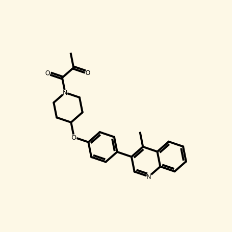 CC(=O)C(=O)N1CCC(Oc2ccc(-c3cnc4ccccc4c3C)cc2)CC1